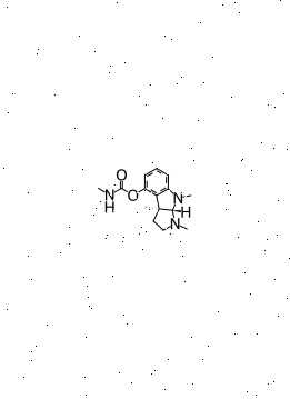 CNC(=O)Oc1cccc2c1[C@]1(C)CCN(C)[C@H]1N2C